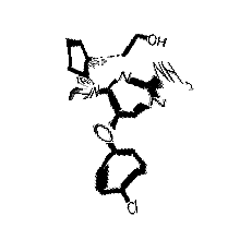 Nc1ncc(Oc2ccc(Cl)cc2)c(N[C@@H]2CCC[C@@H]2CCO)n1